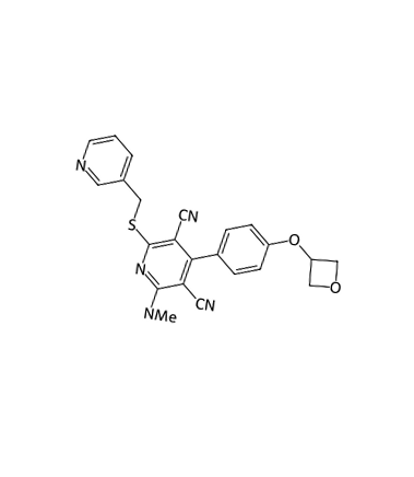 CNc1nc(SCc2cccnc2)c(C#N)c(-c2ccc(OC3COC3)cc2)c1C#N